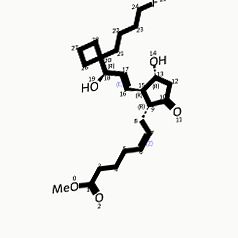 COC(=O)CCC/C=C\C[C@H]1C(=O)C[C@@H](O)[C@@H]1/C=C/[C@@H](O)C1(CCCCF)CCC1